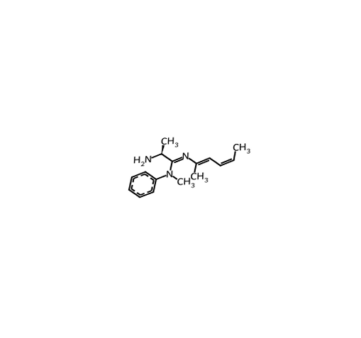 C\C=C/C=C(C)/N=C(/[C@H](C)N)N(C)c1ccccc1